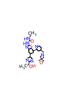 CCNC(=O)Nc1nc2cc(-c3cnc(C(C)O)nc3)cc(-c3cc(CN4CC5(COC5)C4)ccn3)c2s1